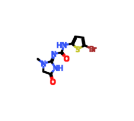 CN1CC(=O)NC1=NC(=O)Nc1ccc(Br)s1